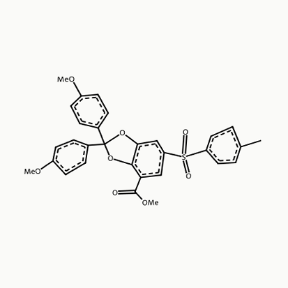 COC(=O)c1cc(S(=O)(=O)c2ccc(C)cc2)cc2c1OC(c1ccc(OC)cc1)(c1ccc(OC)cc1)O2